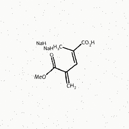 C=C(C=C(C)C(=O)O)C(=O)OC.[NaH].[NaH]